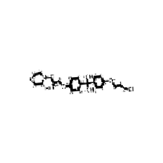 CC(C)(c1ccc(OCCCCl)cc1)c1ccc(OCC(O)CN2CCOCC2)cc1